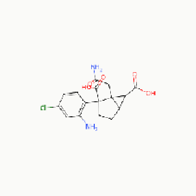 NC(=O)CC12C(CCC1(C(=O)O)c1ccc(Cl)cc1N)C2C(=O)O